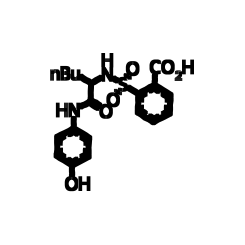 CCCCC(NS(=O)(=O)c1ccccc1C(=O)O)C(=O)Nc1ccc(O)cc1